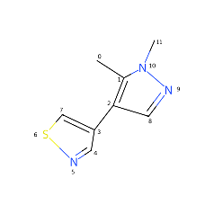 Cc1c(-c2cnsc2)cnn1C